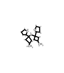 CC1CC(SC2(C3CCCO3)CC(C)C2)(C2CCCO2)C1